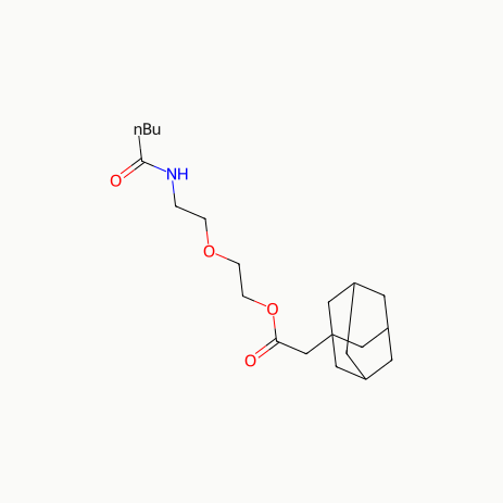 CCCCC(=O)NCCOCCOC(=O)CC12CC3CC(CC(C3)C1)C2